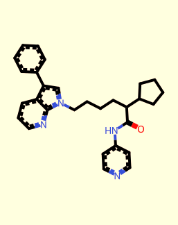 O=C(Nc1ccncc1)C(CCCCn1cc(-c2ccccc2)c2cccnc21)C1CCCC1